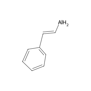 [AlH2][CH]=Cc1ccccc1